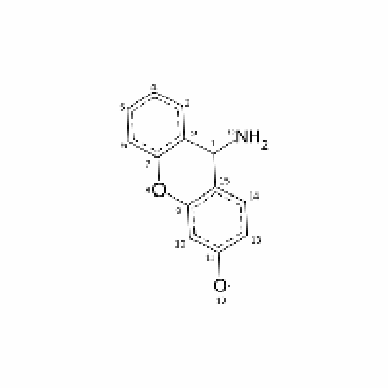 NC1c2ccccc2Oc2cc([O])ccc21